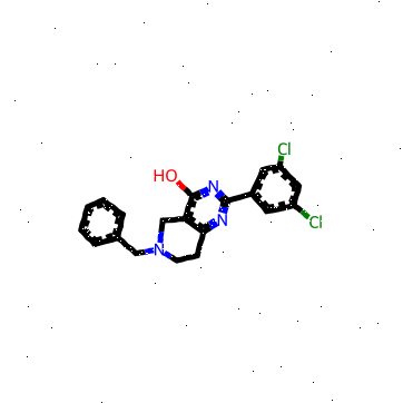 Oc1nc(-c2cc(Cl)cc(Cl)c2)nc2c1CN(Cc1ccccc1)CC2